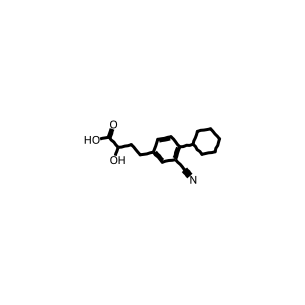 N#Cc1cc(CCC(O)C(=O)O)ccc1C1CCCCC1